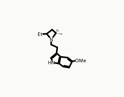 CCC1C[C@H](C)N1CCc1c[nH]c2ccc(OC)cc12